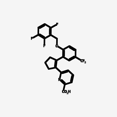 O=C(O)c1cccc(C2=C(c3cc(C(F)(F)F)ccc3OCc3c(F)ccc(F)c3F)CCC2)n1